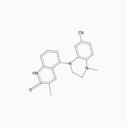 Cc1cc2c(N3CCN(C)c4ccc(C#N)cc43)cccc2[nH]c1=O